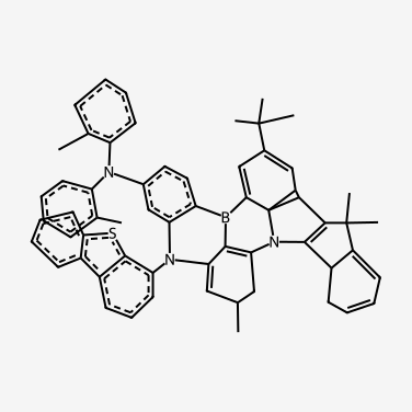 Cc1ccccc1N(c1ccc2c(c1)N(c1cccc3c1sc1ccccc13)C1=CC(C)CC3=C1B2C1=CC(C(C)(C)C)=CC2C4C5=C(C6CC=CC=C6C5(C)C)N3C124)c1ccccc1C